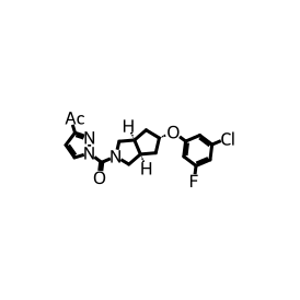 CC(=O)c1ccn(C(=O)N2C[C@H]3C[C@H](Oc4cc(F)cc(Cl)c4)C[C@H]3C2)n1